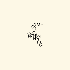 CNC(=O)CCCCC[C@H](NC(=O)c1nnc(C)s1)c1ncc(-c2ccc3ccccc3c2)[nH]1